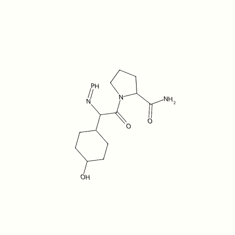 NC(=O)C1CCCN1C(=O)C(N=P)C1CCC(O)CC1